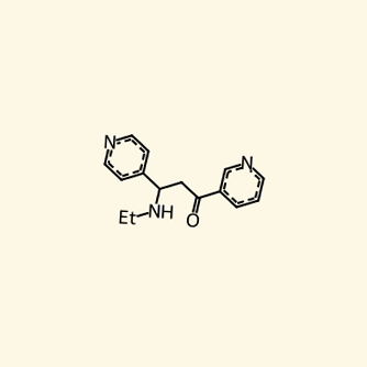 CCNC(CC(=O)c1cccnc1)c1ccncc1